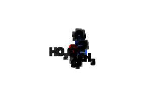 Cc1ccccc1[C@H](CC(=O)O)NC(=O)c1cccc(N2CCCCC2)n1